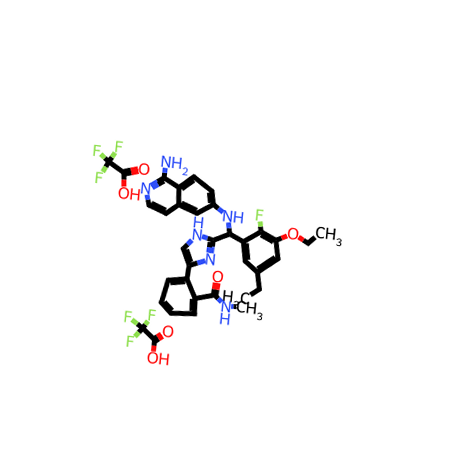 CCOc1cc(CC)cc(C(Nc2ccc3c(N)nccc3c2)c2nc(-c3ccccc3C(=O)NC)c[nH]2)c1F.O=C(O)C(F)(F)F.O=C(O)C(F)(F)F